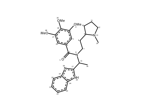 COc1cc(C(=O)N(CCC2CCCN2C)C(C)c2nc3ccccc3[nH]2)cc(OC)c1OC